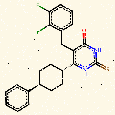 O=c1[nH]c(=S)[nH]c([C@H]2CC[C@H](c3ccccc3)CC2)c1Cc1cccc(F)c1F